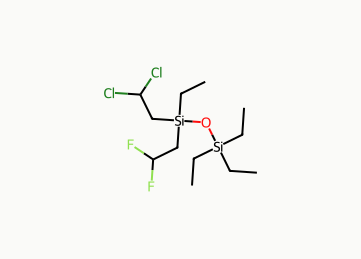 CC[Si](CC)(CC)O[Si](CC)(CC(F)F)CC(Cl)Cl